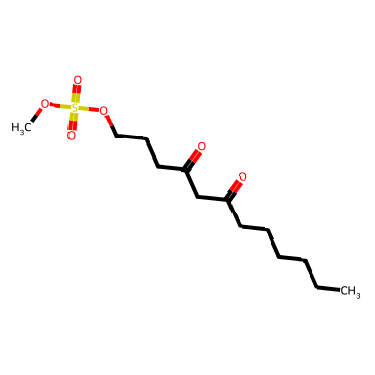 CCCCCCC(=O)CC(=O)CCCOS(=O)(=O)OC